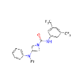 CCN(c1ccccc1)C1CN(C(=O)Nc2cc(C(F)(F)F)cc(C(F)(F)F)c2)C1